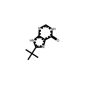 CC(C)(C)c1nc2c(=O)[nH]cnc2[nH]1